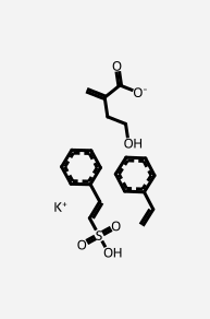 C=C(CCO)C(=O)[O-].C=Cc1ccccc1.O=S(=O)(O)C=Cc1ccccc1.[K+]